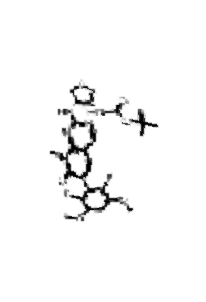 COc1cc(OC)c(F)c(-c2cc3cnc(N[C@@H]4COC[C@@H]4NC(=O)OC(C)(C)C)nc3n(C)c2=O)c1F